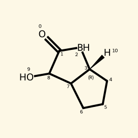 O=C1B[C@@H]2CCCC2C1O